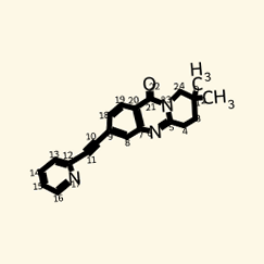 CC1(C)CCc2nc3cc(C#Cc4ccccn4)ccc3c(=O)n2C1